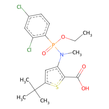 CCOP(=O)(c1ccc(Cl)cc1Cl)N(C)c1cc(C(C)(C)C)sc1C(=O)O